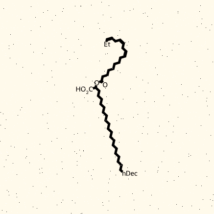 CC/C=C\C/C=C\C/C=C\CCCCCCCC(=O)OC(CCCCCCCCCCCCCCCCCCCCCCCCCCCCCC)C(=O)O